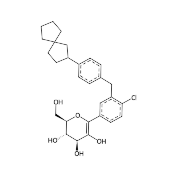 OC[C@H]1OC(c2ccc(Cl)c(Cc3ccc(C4CCC5(CCCC5)C4)cc3)c2)=C(O)[C@@H](O)[C@@H]1O